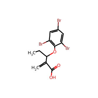 C=C(C(=O)O)C(CC)Oc1c(Br)cc(Br)cc1Br